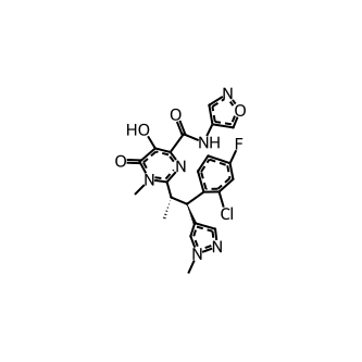 C[C@H](c1nc(C(=O)Nc2cnoc2)c(O)c(=O)n1C)[C@H](c1cnn(C)c1)c1ccc(F)cc1Cl